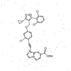 COC(=O)c1ccc2ccn(C#Cc3ccc(OCc4c(-c5c(Cl)cccc5Cl)noc4C4CC4)cc3Cl)c2c1